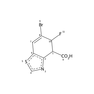 O=C(O)C1c2ncsc2C=C(Br)C1F